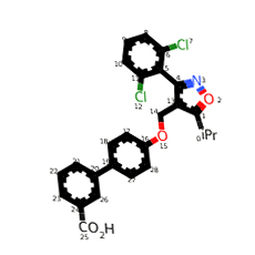 CC(C)c1onc(-c2c(Cl)cccc2Cl)c1COc1ccc(-c2cccc(C(=O)O)c2)cc1